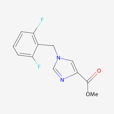 COC(=O)c1cn(Cc2c(F)cccc2F)cn1